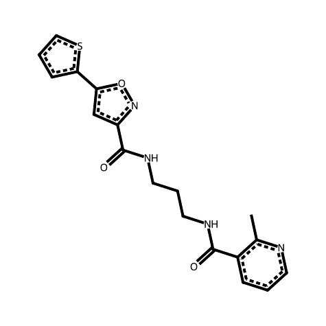 Cc1ncccc1C(=O)NCCCNC(=O)c1cc(-c2cccs2)on1